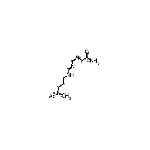 CC(=O)N(C)CCCN/C=N/C=N\CC(N)=O